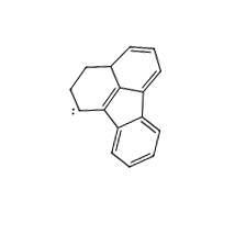 [C]1CCC2C=CC=C3C2=C1c1ccccc13